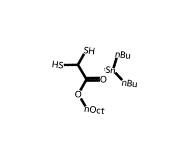 CCCCCCCCOC(=O)C(S)S.CCC[CH2][Sn][CH2]CCC